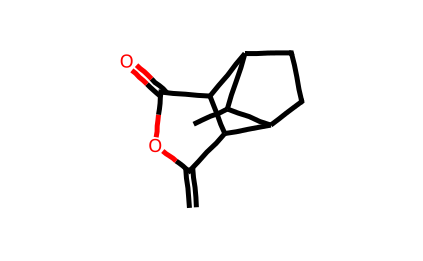 C=C1OC(=O)C2C3CCC(C3C)C12